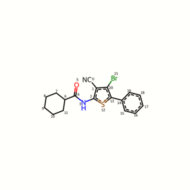 N#Cc1c(NC(=O)C2CCCCC2)sc(-c2ccccc2)c1Br